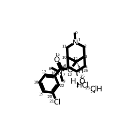 CN1CC2CC[C@@H](N(C)C)C(C1)[C@@H]2OC(=O)c1cccc(Cl)c1.Cl.Cl.O